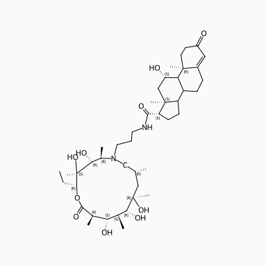 CC[C@H]1OC(=O)[C@H](C)[C@@H](O)[C@H](C)[C@@H](O)[C@](C)(O)C[C@@H](C)CN(CCCNC(=O)[C@H]2CCC3C4CCC5=CC(=O)CC[C@]5(C)C4[C@@H](O)C[C@@]32C)[C@H](C)[C@@H](O)[C@]1(C)O